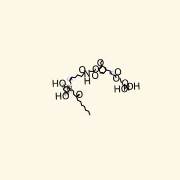 CCCCCCCC(=O)CC[C@@H]1[C@@H](C/C=C\CCCC(=O)NCC(=O)Oc2ccc(/C=C/C(=O)OCCON(O)O)cc2OC)[C@@H](O)C[C@H]1O